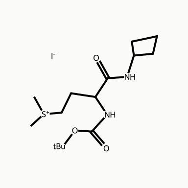 C[S+](C)CCC(NC(=O)OC(C)(C)C)C(=O)NC1CCC1.[I-]